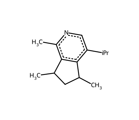 Cc1ncc(C(C)C)c2c1C(C)CC2C